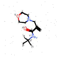 C=C(CN1CCOCC1)C(=O)NC(C)(C)C